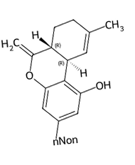 C=C1Oc2cc(CCCCCCCCC)cc(O)c2[C@@H]2C=C(C)CC[C@@H]12